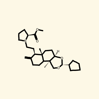 C=C1CCC2[C@]3(C)CO[C@@H](C4CCCC4)O[C@@H]3CC[C@@]2(C)[C@@H]1CCN1CCC[C@H]1C(=O)OC